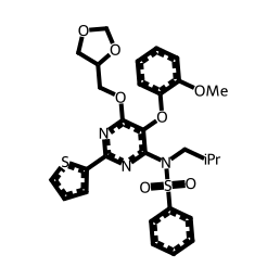 COc1ccccc1Oc1c(OCC2COCO2)nc(-c2cccs2)nc1N(CC(C)C)S(=O)(=O)c1ccccc1